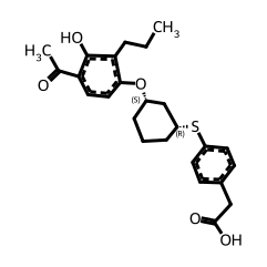 CCCc1c(O[C@H]2CCC[C@@H](Sc3ccc(CC(=O)O)cc3)C2)ccc(C(C)=O)c1O